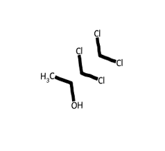 CCO.ClCCl.ClCCl